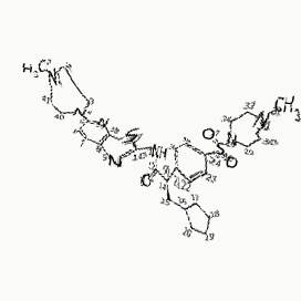 CN1CCN(c2ccc3nc(NC(=O)[C@H](CC4CCCC4)c4ccc(S(=O)(=O)N5CCN(C)CC5)cc4)sc3n2)CC1